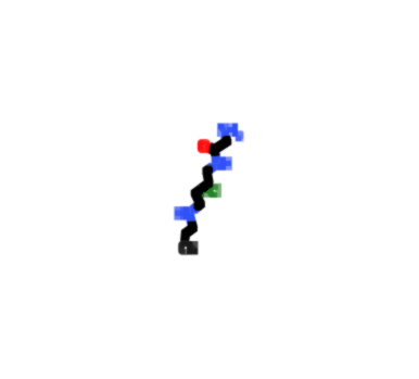 Cl.N#CCCNCCCCNC(=O)CN